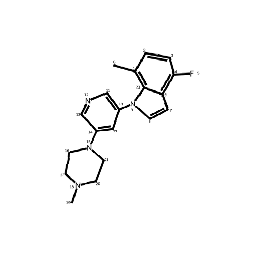 Cc1ccc(F)c2ccn(-c3cncc(N4CCN(C)CC4)c3)c12